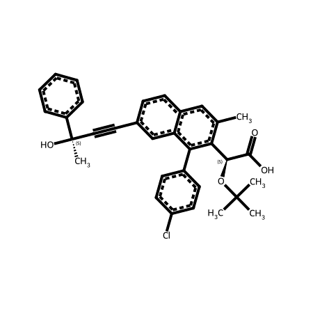 Cc1cc2ccc(C#C[C@@](C)(O)c3ccccc3)cc2c(-c2ccc(Cl)cc2)c1[C@H](OC(C)(C)C)C(=O)O